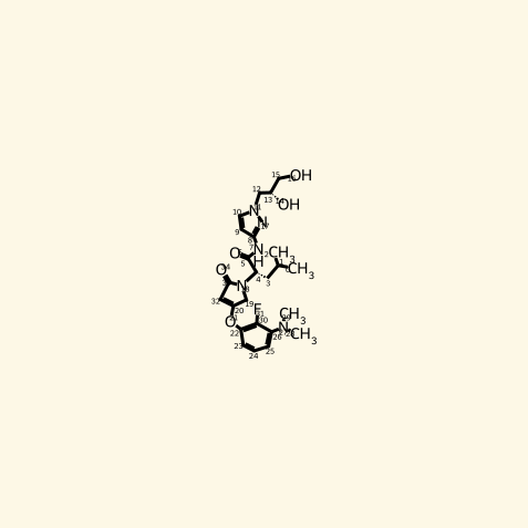 CC(C)C[C@@H](C(=O)Nc1ccn(C[C@@H](O)CO)n1)N1CC(Oc2cccc(N(C)C)c2F)=CC1=O